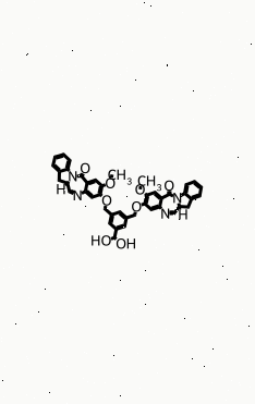 COc1cc2c(cc1OCc1cc(COc3cc4c(cc3OC)C(=O)N3c5ccccc5C[C@H]3C=N4)cc(C(O)O)c1)N=C[C@@H]1Cc3ccccc3N1C2=O